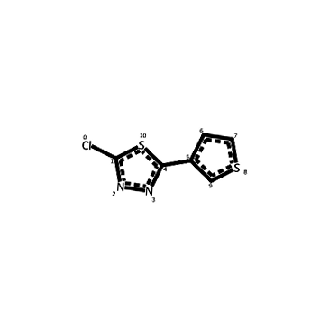 Clc1nnc(-c2ccsc2)s1